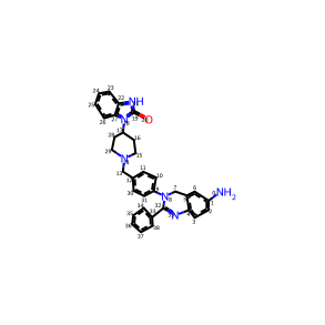 Nc1ccc2c(c1)CN(c1ccc(CN3CCC(n4c(=O)[nH]c5ccccc54)CC3)cc1)C(c1ccccc1)=N2